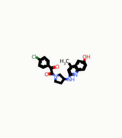 Cc1cc(NC2CCN(C(=O)C(=O)c3ccc(Cl)cc3)C2)nc2ccc(O)cc12